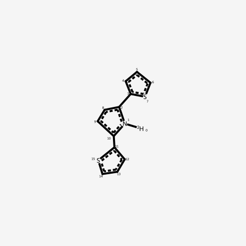 [2H]n1c(-c2cccs2)ccc1-c1cccs1